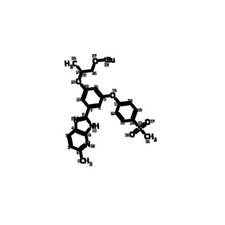 Cc1ccc2nc(-c3cc(Oc4ccc(S(C)(=O)=O)cc4)cc(O[C@@H](C)COC(C)(C)C)c3)[nH]c2n1